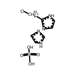 CCl.Cc1ncc[nH]1.O=S(=O)(O)O.c1c[nH]cn1